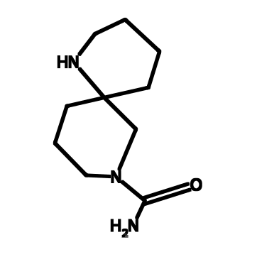 NC(=O)N1CCCC2(CCCCN2)C1